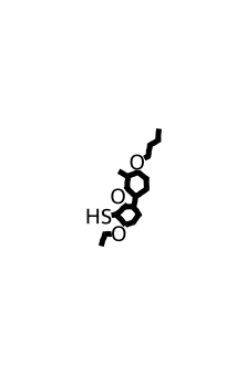 CCCCOC1CCC2C3CCC(OCC)C(S)C3OC2C1C